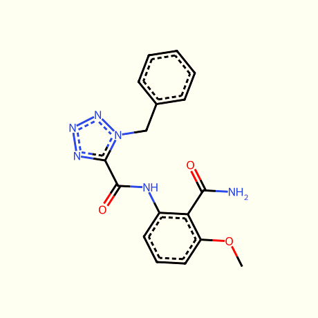 COc1cccc(NC(=O)c2nnnn2Cc2ccccc2)c1C(N)=O